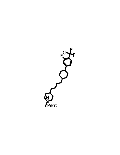 CCCCC[SiH]1CCC(CCCCC2CCC(c3ccc(C(F)(F)Cl)c(F)c3)CC2)CC1